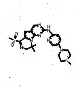 CN1CCN(c2ccc(Nc3ncc4cc5n(c4n3)C(C)(C)CN=C5S(C)(=O)=O)nc2)CC1